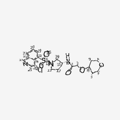 O=C(COC1CCOCC1)N[C@@H]1CCN(S(=O)(=O)c2cccc3cncc(Cl)c23)C1